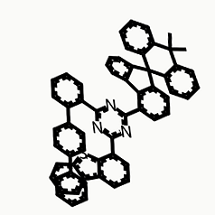 CC1(C)c2ccccc2C2(c3ccccc3-c3c(-c4nc(-c5ccccc5-c5ccc(-c6ccccc6)cc5)nc(-c5cccc6c5sc5ccccc56)n4)cccc32)c2ccccc21